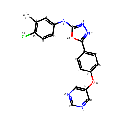 FC(F)(F)c1cc(Nc2nnc(-c3ccc(Oc4cncnc4)cc3)o2)ccc1Cl